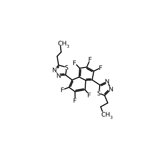 CCCc1nnc(-c2c(F)c(F)c(F)c3c(-c4nnc(CCC)s4)c(F)c(F)c(F)c23)s1